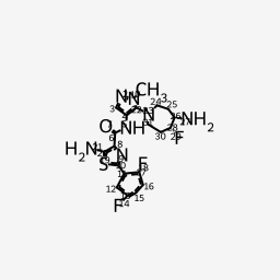 Cn1ncc(NC(=O)c2nc(-c3cc(F)ccc3F)sc2N)c1N1CC[C@@H](N)[C@H](F)CC1